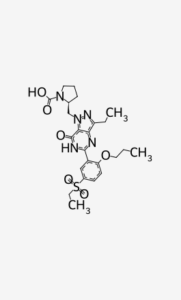 CCCOc1ccc(S(=O)(=O)CC)cc1-c1nc2c(CC)nn(C[C@@H]3CCCN3C(=O)O)c2c(=O)[nH]1